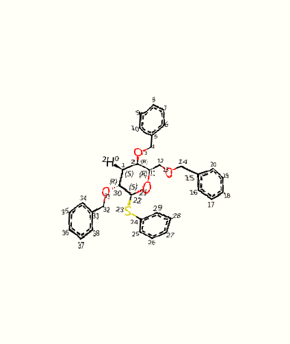 [2H][C@H]1[C@@H](OCc2ccccc2)[C@@H](COCc2ccccc2)O[C@@H](Sc2ccccc2)[C@@H]1OCc1ccccc1